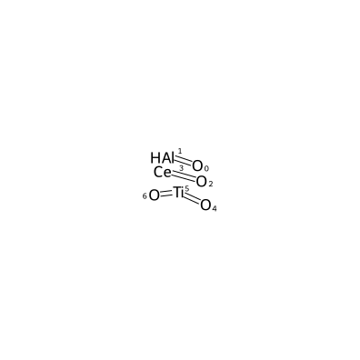 [O]=[AlH].[O]=[Ce].[O]=[Ti]=[O]